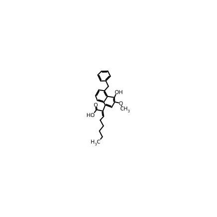 CCCCCC=C(C(=O)O)c1cc(OC)c(O)c2c(Cc3ccccc3)cccc12